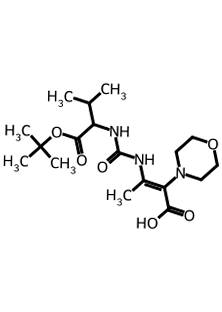 CC(NC(=O)NC(C(=O)OC(C)(C)C)C(C)C)=C(C(=O)O)N1CCOCC1